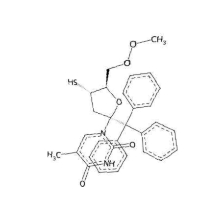 COOC[C@H]1O[C@](n2cc(C)c(=O)[nH]c2=O)(C(c2ccccc2)(c2ccccc2)c2ccccc2)C[C@@H]1S